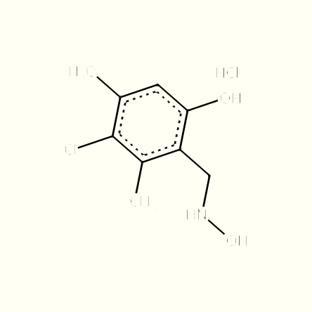 Cc1cc(O)c(CNO)c(C)c1Cl.Cl